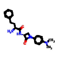 CN(C)c1ccc(N2C[C@@H](NC(=O)C(N)CCc3ccccc3)C2=O)cc1